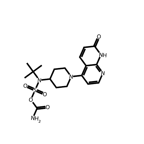 CC(C)(C)N(C1CCN(c2ccnc3[nH]c(=O)ccc23)CC1)S(=O)(=O)OC(N)=O